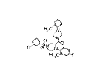 Cc1ccccc1N1CCN(C(=O)C2CN(S(=O)(=O)c3cccc(Cl)c3)CCN2c2ccc(F)cc2C)CC1